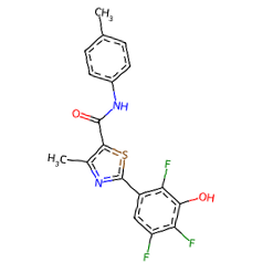 Cc1ccc(NC(=O)c2sc(-c3cc(F)c(F)c(O)c3F)nc2C)cc1